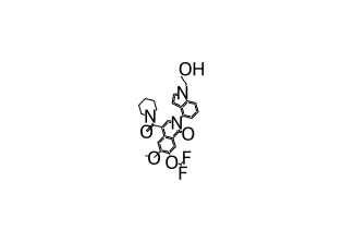 COc1cc2c(C(=O)N3CCCCC3)cn(-c3cccc4c3ccn4CCO)c(=O)c2cc1OC(F)F